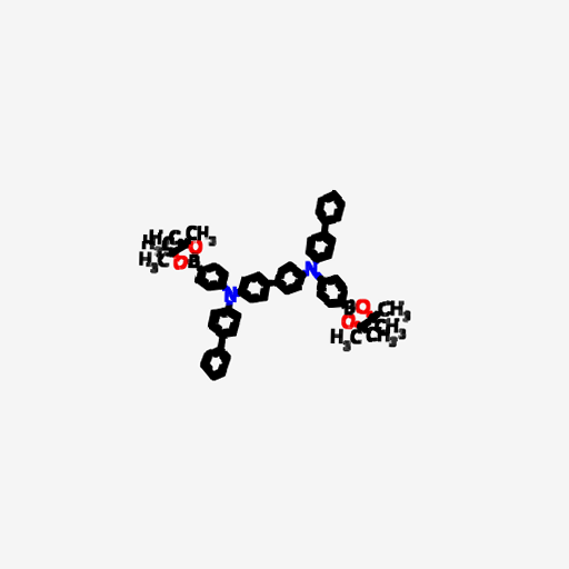 CC1(C)OB(c2ccc(N(c3ccc(-c4ccccc4)cc3)c3ccc(-c4ccc(N(c5ccc(B6OC(C)(C)C(C)(C)O6)cc5)c5ccc(-c6ccccc6)cc5)cc4)cc3)cc2)OC1(C)C